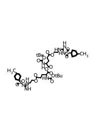 Cc1ccc(S(=O)(=O)NC(=N)NCCOC(=O)CCC(NC(=O)OC(C)(C)C)C(=O)OC(=O)C(CCC(=O)OCCNC(=N)NS(=O)(=O)c2ccc(C)cc2)NC(=O)OC(C)(C)C)cc1